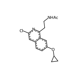 CC(=O)NCCc1nc(Cl)cc2ccc(OC3CC3)cc12